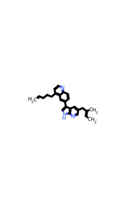 [CH2]C=C(C)Cc1cnc2[nH]cc(-c3ccc4nccc(CCCC=C)c4c3)c2c1